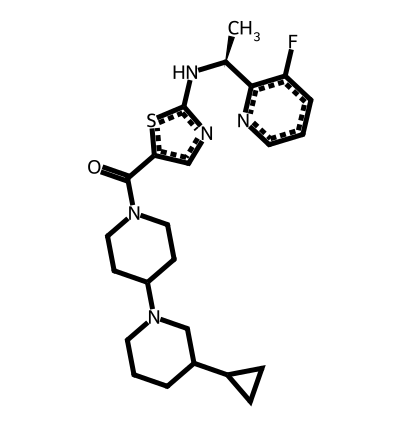 C[C@H](Nc1ncc(C(=O)N2CCC(N3CCCC(C4CC4)C3)CC2)s1)c1ncccc1F